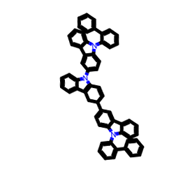 C1=CC(c2ccc3c(c2)c2ccccc2n3-c2ccccc2-c2ccccc2)Cc2c1n(-c1ccc3c(c1)c1ccccc1n3-c1ccccc1-c1ccccc1)c1ccccc21